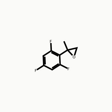 CC1(c2c(F)cc(F)cc2F)CO1